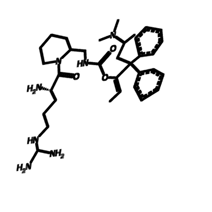 C/C=C(\OC(=O)NCC1CCCCN1C(=O)[C@@H](N)CCCNC(N)N)C(CC(C)N(C)C)(c1ccccc1)c1ccccc1